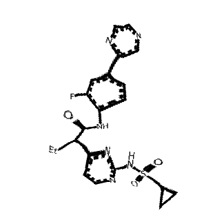 CCC(C(=O)Nc1ccc(-c2cnccn2)cc1F)c1ccnc(NS(=O)(=O)C2CC2)n1